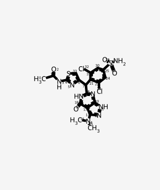 CC(=O)Nc1nc(C(c2nc3[nH]nc(N(C)C)c3c(=O)[nH]2)c2c(Cl)cc(S(N)(=O)=O)cc2Cl)cs1